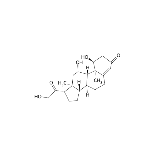 C[C@]12C[C@H](O)[C@H]3[C@@H](CCC4=CC(=O)C[C@H](O)[C@@]43C)[C@@H]1CC[C@@H]2C(=O)CO